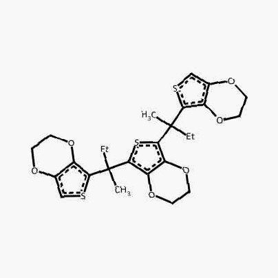 CCC(C)(c1scc2c1OCCO2)c1sc(C(C)(CC)c2scc3c2OCCO3)c2c1OCCO2